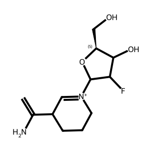 C=C(N)C1C=[N+](C2O[C@@H](CO)C(O)C2F)CCC1